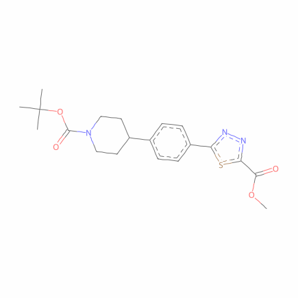 COC(=O)c1nnc(-c2ccc(C3CCN(C(=O)OC(C)(C)C)CC3)cc2)s1